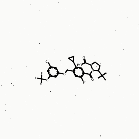 CC(C)(C)C1CCC(C(=O)O)N1C(=O)c1cc(C2CC2)c(COc2cc(Cl)cc(OC(F)(F)F)c2)cc1F